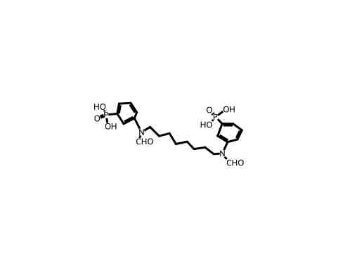 O=CN(CCCCCCCCN(C=O)c1cccc(P(=O)(O)O)c1)c1cccc(P(=O)(O)O)c1